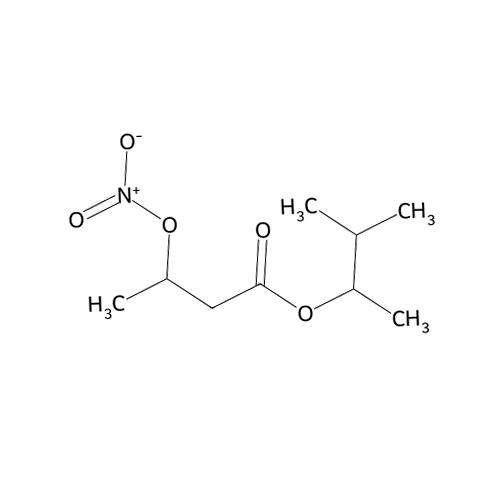 CC(CC(=O)OC(C)C(C)C)O[N+](=O)[O-]